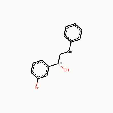 O[C@@H](C[Se]c1ccccc1)c1cccc(Br)c1